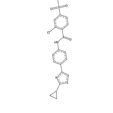 CS(=O)(=O)c1ccc(C(=O)Nc2ccc(-c3csc(C4CC4)n3)cc2)c(Cl)c1